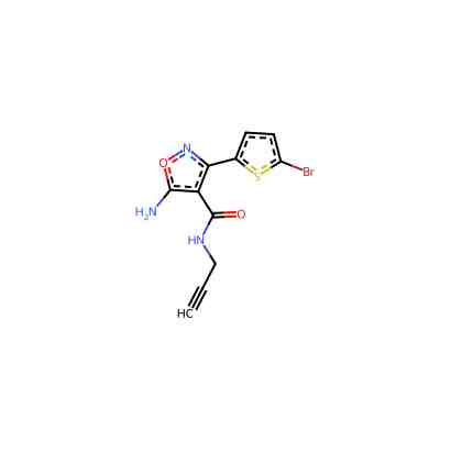 C#CCNC(=O)c1c(-c2ccc(Br)s2)noc1N